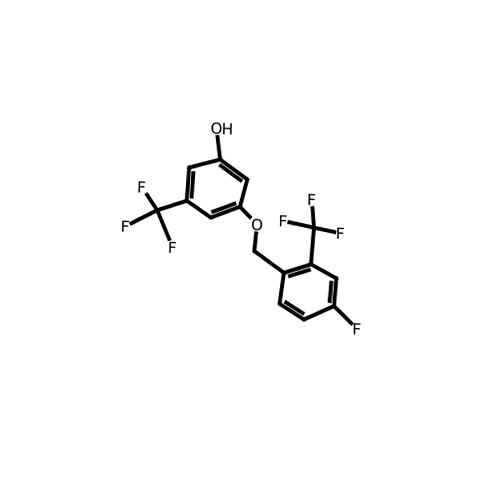 Oc1cc(OCc2ccc(F)cc2C(F)(F)F)cc(C(F)(F)F)c1